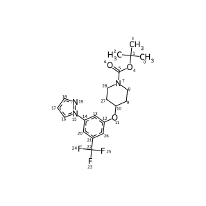 CC(C)(C)OC(=O)N1CCC(Oc2cc(-n3cccn3)cc(C(F)(F)F)c2)CC1